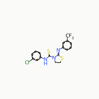 FC(F)(F)c1cccc(N=C2SCCN2C(=S)Nc2cccc(Cl)c2)c1